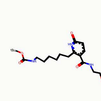 CC(C)(C)OC(=O)NCCCCCCc1[nH]c(=O)ccc1C(=O)NCCO